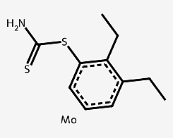 CCc1cccc(SC(N)=S)c1CC.[Mo]